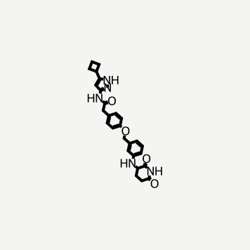 O=C1CCC(Nc2cccc(COc3ccc(CC(=O)Nc4cc(C5CCC5)[nH]n4)cc3)c2)C(=O)N1